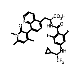 Cc1cc(C)n(C)c(=O)c1-c1ccc(C[C@H](NC(=O)c2c(F)cc(N[C@H](C3CC3)C(F)(F)F)cc2F)C(=O)O)c2cccnc12